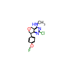 CNc1nc(Cl)nc2c1COCC2c1ccc(OCF)cc1